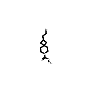 CC(C)(C)OC(=O)N1CCC2(CC1)CC(CCBr)C2